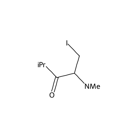 CNC(CI)C(=O)C(C)C